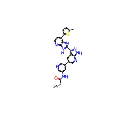 Cc1ccc(-c2ccnc3[nH]c(-c4n[nH]c5ncc(-c6cncc(NC(=O)CC(C)C)c6)cc45)nc23)s1